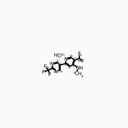 CNc1cc(-c2cnc(C(F)(F)F)nc2)ncc1C(F)F.Cl